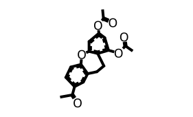 CC(=O)Oc1cc(OC(C)=O)c2c(c1)Oc1ccc(C(C)=O)cc1CC2